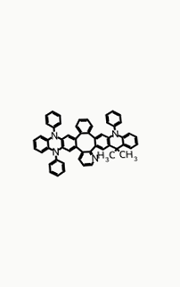 CC1(C)c2ccccc2N(c2ccccc2)c2cc3c4ccccc4c4cc5c(cc4c4cccnc4c3cc21)n(-c1ccccc1)c1ccccc1n5-c1ccccc1